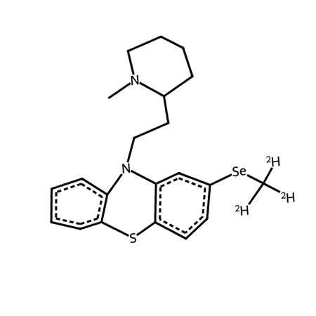 [2H]C([2H])([2H])[Se]c1ccc2c(c1)N(CCC1CCCCN1C)c1ccccc1S2